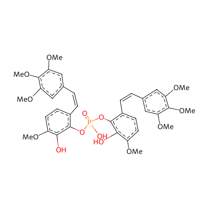 COc1ccc(/C=C\c2cc(OC)c(OC)c(OC)c2)c(OP(=O)(O)Oc2c(/C=C\c3cc(OC)c(OC)c(OC)c3)ccc(OC)c2O)c1O